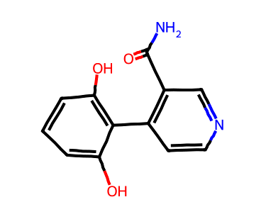 NC(=O)c1cnccc1-c1c(O)cccc1O